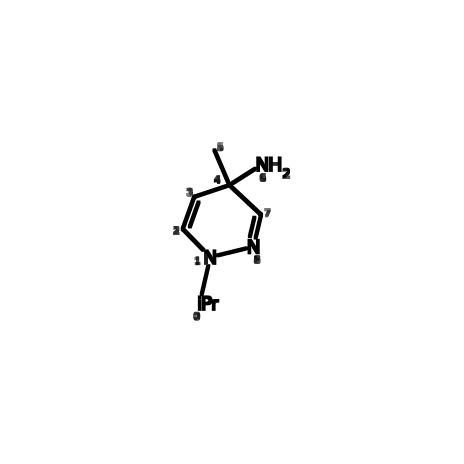 CC(C)N1C=CC(C)(N)C=N1